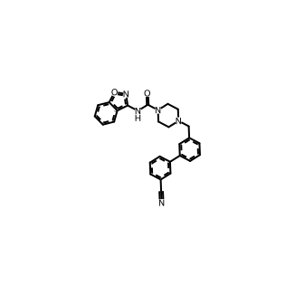 N#Cc1cccc(-c2cccc(CN3CCN(C(=O)Nc4noc5ccccc45)CC3)c2)c1